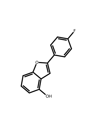 Oc1cccc2oc(-c3ccc(F)cc3)cc12